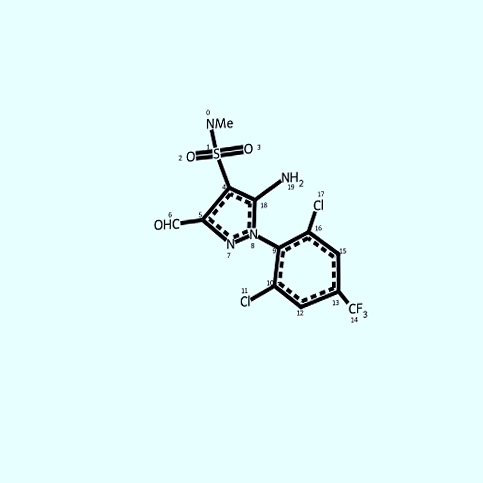 CNS(=O)(=O)c1c(C=O)nn(-c2c(Cl)cc(C(F)(F)F)cc2Cl)c1N